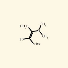 CCCCCC/C(CC)=C(/C(=O)O)N(C)C